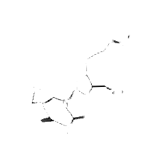 [N-]=[N+]=NCOC1CC(n2cc(CN)c(=O)[nH]c2=O)OC1CO